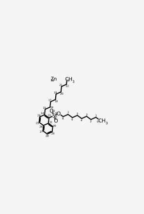 CCCCCCCCCOS(=O)(=O)c1c(CCCCCCCCC)ccc2ccccc12.[Zn]